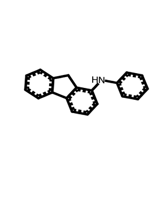 c1ccc(Nc2cccc3c2Cc2ccccc2-3)cc1